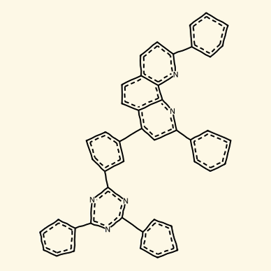 c1ccc(-c2ccc3ccc4c(-c5cccc(-c6nc(-c7ccccc7)nc(-c7ccccc7)n6)c5)cc(-c5ccccc5)nc4c3n2)cc1